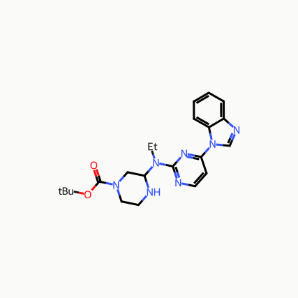 CCN(c1nccc(-n2cnc3ccccc32)n1)C1CN(C(=O)OC(C)(C)C)CCN1